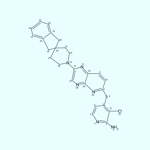 Nc1nccc(Sc2ccc3nc(N4CCC5(CC4)Cc4ccccc4C5)cnc3n2)c1Cl